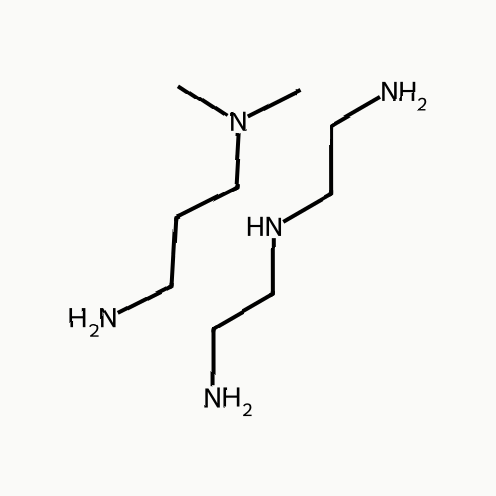 CN(C)CCCN.NCCNCCN